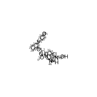 CCOC(=O)c1c(CCCOc2cc(SCc3ccc(OC)cc3)cc3ccccc23)c2ccc(Cl)c(-c3c(CNCCO)nn(C)c3C)c2n1C